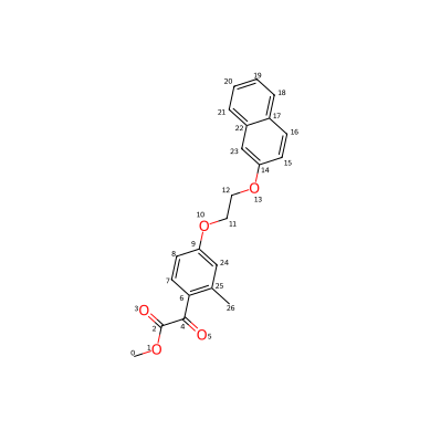 COC(=O)C(=O)c1ccc(OCCOc2ccc3ccccc3c2)cc1C